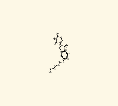 O=C1CCC(N2Cc3cc(CCCOCCO)ccc3C2=O)C(=O)N1